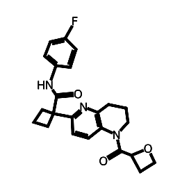 O=C(C1CCO1)N1CCCc2nc(C3(C(=O)Nc4ccc(F)cc4)CCC3)ccc21